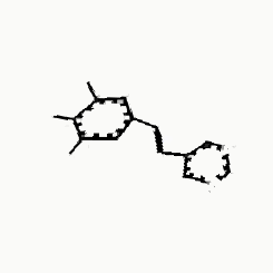 Cc1cc(/C=C/c2cncnc2)cc(C)c1O